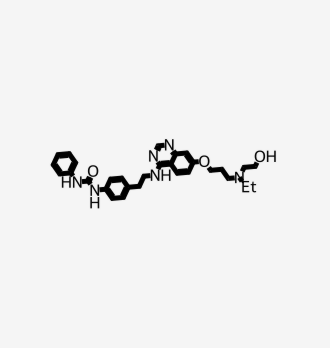 CCN(CCO)CCCOc1ccc2c(NCCc3ccc(NC(=O)Nc4ccccc4)cc3)ncnc2c1